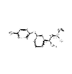 Cc1ccc(Oc2cccc([C@H](C)N[S@+]([O-])C(C)(C)C)c2)cn1